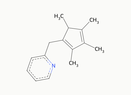 CC1=C(C)C(C)C(Cc2ccccn2)=C1C